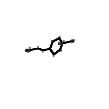 CCCC1CC[SiH](Cl)CC1